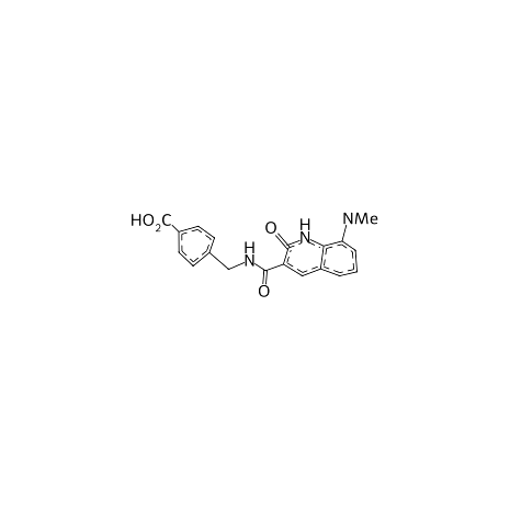 CNc1cccc2cc(C(=O)NCc3ccc(C(=O)O)cc3)c(=O)[nH]c12